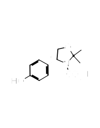 CC1(C)OC[C@@H](c2ccc(O)cc2)N1C(=O)O